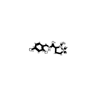 CC(C)N1C(C(=O)NCc2ccc(Cl)cc2Cl)CCS1(=O)=O